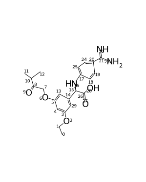 CCOc1cc(OCC(=O)C(C)C)cc([C@@H](Nc2ccc(C(=N)N)cc2)C(=O)O)c1